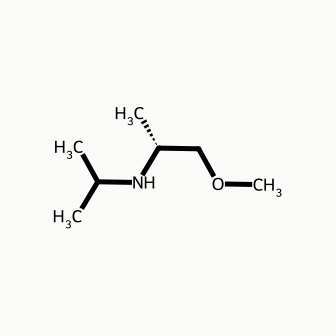 COC[C@@H](C)NC(C)C